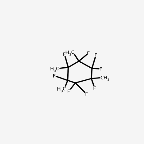 CC1(F)C(C)(F)C(F)(F)C(C)(F)C(F)(F)C1(C)F